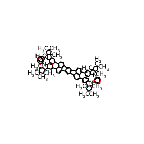 CC1(C)CC2(C)c3cc(-c4ccc5c6cc7c(cc6c6ccc(-c8ccc9c(c8)C8(C)CC(C)(C)CC8(C)N9c8ccccc8)c4c56)c4ccc(-c5ccc6c(c5)C5(C)CC(C)(C)CC5(C)N6c5ccccc5)c5c(-c6ccc8c(c6)C6(C)CC(C)(C)CC6(C)N8c6ccccc6)ccc7c54)ccc3N(c3ccccc3)C2(C)C1